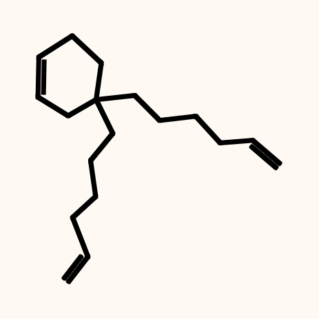 C=CCCCCC1(CCCCC=C)CC=CCC1